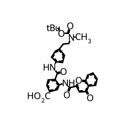 CN(CCc1ccc(NC(=O)c2ccc(C(=O)O)cc2NC(=O)c2cc(=O)c3ccccc3o2)cc1)C(=O)OC(C)(C)C